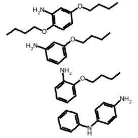 CCCCOc1ccc(OCCCC)c(N)c1.CCCCOc1cccc(N)c1.CCCCOc1ccccc1N.Nc1ccc(Nc2ccccc2)cc1